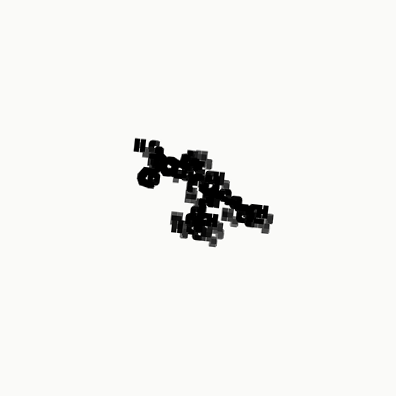 C=Cc1nn(C2CCCCO2)c2cc(F)c(-c3cnn(C)c3OC(C)CN(C)Cc3c(I)c(OCOCC[Si](C)(C)C)nn3CCO[Si](C)(C)C(C)(C)C)cc12